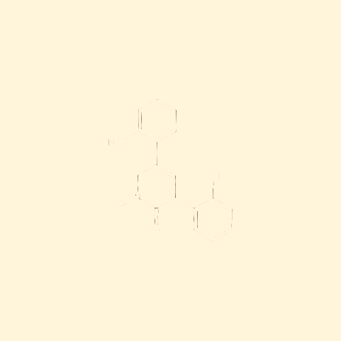 CN1CC(c2ccccc2O)=CC(c2ccccc2O)C1=O